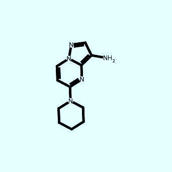 Nc1cnn2ccc(N3CCCCC3)nc12